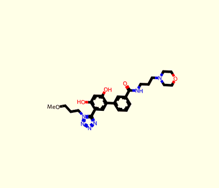 COCCCn1nnnc1-c1cc(-c2cccc(C(=O)NCCCN3CCOCC3)c2)c(O)cc1O